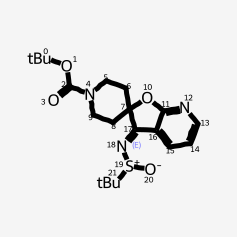 CC(C)(C)OC(=O)N1CCC2(CC1)Oc1ncccc1/C2=N\[S+]([O-])C(C)(C)C